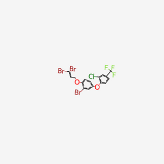 FC(F)(F)c1ccc(Oc2ccc(OCC=C(Br)Br)c(Br)c2)c(Cl)c1